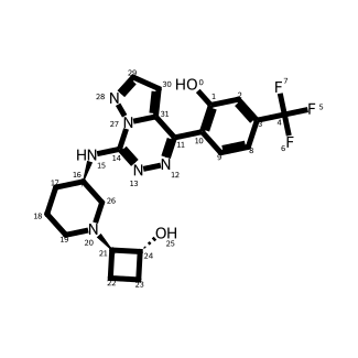 Oc1cc(C(F)(F)F)ccc1-c1nnc(N[C@@H]2CCCN([C@@H]3CC[C@H]3O)C2)n2nccc12